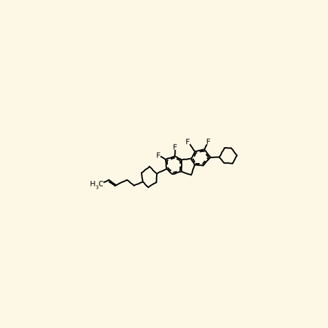 C/C=C/CCC1CCC(c2cc3c(c(F)c2F)-c2c(cc(C4CCCCC4)c(F)c2F)C3)CC1